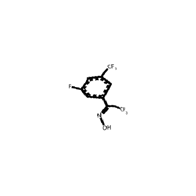 O/N=C(/c1cc(F)cc(C(F)(F)F)c1)C(F)(F)F